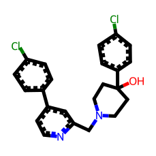 OC1(c2ccc(Cl)cc2)CCN(Cc2cc(-c3ccc(Cl)cc3)ccn2)CC1